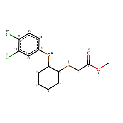 COC(=O)CSC1CCCCC1Sc1ccc(Cl)c(Cl)c1